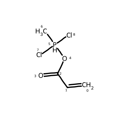 C=CC(=O)O[PH](C)(Cl)Cl